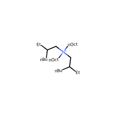 CCCCCCCC[N+](CCCCCCCC)(CC(CC)CCCC)CC(CC)CCCC